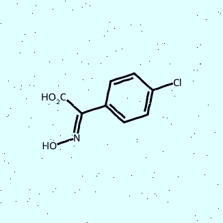 O=C(O)C(=NO)c1ccc(Cl)cc1